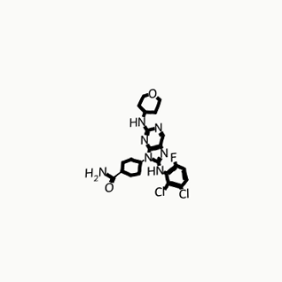 NC(=O)[C@H]1CC[C@H](n2c(Nc3c(F)ccc(Cl)c3Cl)nc3cnc(NC4CCOCC4)nc32)CC1